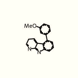 COc1cccc(-c2cccc3c2C2=CCC=NC2=N3)c1